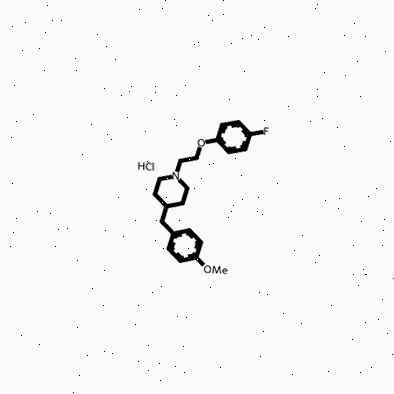 COc1ccc(CC2CCN(CCOc3ccc(F)cc3)CC2)cc1.Cl